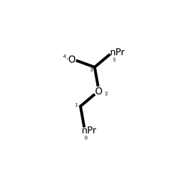 CCCCOC([O])CCC